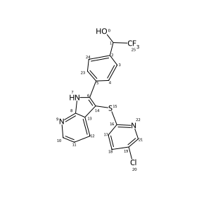 OC(c1ccc(-c2[nH]c3ncccc3c2Sc2ccc(Cl)cn2)cc1)C(F)(F)F